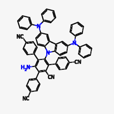 N#Cc1ccc(-c2c(N)c(-c3ccc(C#N)cc3)c(-n3c4ccc(N(c5ccccc5)c5ccccc5)cc4c4cc(N(c5ccccc5)c5ccccc5)ccc43)c(-c3ccc(C#N)cc3)c2C#N)cc1